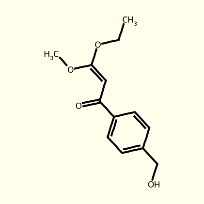 CCO/C(=C/C(=O)c1ccc(CO)cc1)OC